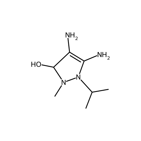 CC(C)N1C(N)=C(N)C(O)N1C